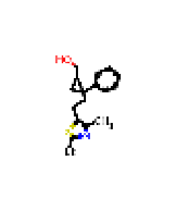 CCc1nc(C)c(CCC2(c3ccccc3)CC2CO)s1